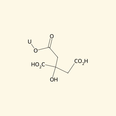 O=C(O)CC(O)(CC(=O)[O][U])C(=O)O